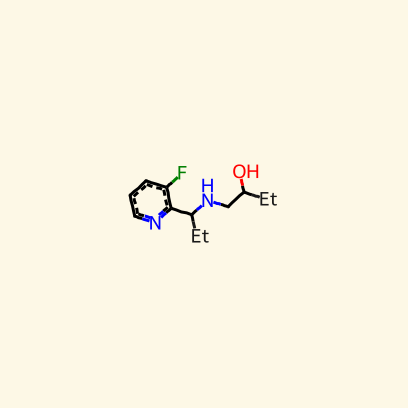 CCC(O)CNC(CC)c1ncccc1F